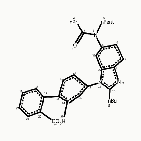 CCCCCN(C(=O)CCC)c1ccc2nc(CCCC)n(-c3ccc(-c4ccccc4C(=O)O)c(C)c3)c2c1